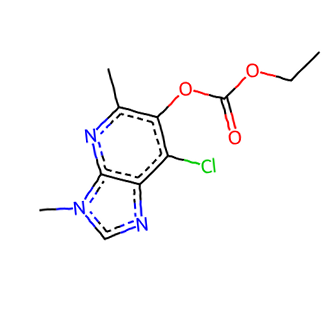 CCOC(=O)Oc1c(C)nc2c(ncn2C)c1Cl